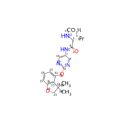 CC(C)[C@@H](NC(=O)O)C(=O)Nc1cnc(Oc2cccc3c2C(C)(C)CO3)nc1